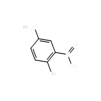 CC(C)c1ccc(C(=O)O)cc1S(=O)O